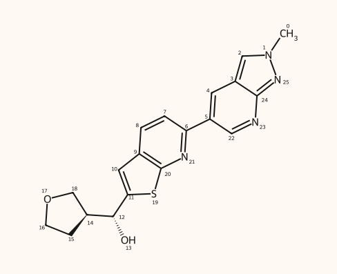 Cn1cc2cc(-c3ccc4cc([C@H](O)[C@H]5CCOC5)sc4n3)cnc2n1